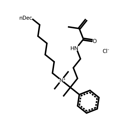 C=C(C)C(=O)NCCCC(C)(c1ccccc1)[N+](C)(C)CCCCCCCCCCCCCCCC.[Cl-]